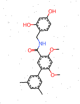 COc1cc(OC)c(-c2cc(C)cc(C)c2)cc1C(=O)NCc1ccc(O)cc1O